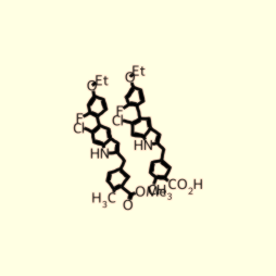 CCOc1ccc(-c2cc3cc(Cc4ccc(C)c(C(=O)O)c4)[nH]c3cc2Cl)c(F)c1.CCOc1ccc(-c2cc3cc(Cc4ccc(C)c(C(=O)OC)c4)[nH]c3cc2Cl)c(F)c1